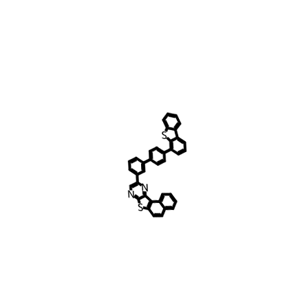 c1cc(-c2ccc(-c3cccc4c3sc3ccccc34)cc2)cc(-c2cnc3sc4ccc5ccccc5c4c3n2)c1